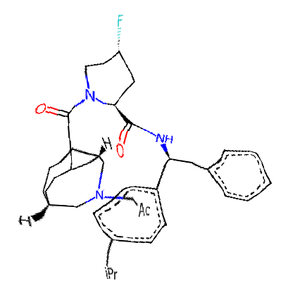 CC(=O)N1C[C@@H]2CC[C@H]1C(C(=O)N1C[C@H](F)C[C@H]1C(=O)N[C@@H](c1ccccc1)c1ccc(C(C)C)cc1)C2